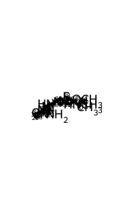 CC(CN(C)C)NC(=O)c1ccc(N2CCN(CCNc3nc(N)n4nc(-c5ccco5)nc4n3)CC2)c(F)c1